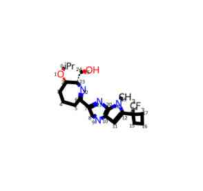 CC(C)O[C@@H]1CCCC(c2cnc3cc(C4(C(F)(F)F)CCC4)n(C)c3n2)=N[C@H]1CO